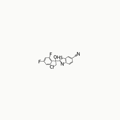 N#Cc1ccc2nc(C(O)(CCl)c3ccc(F)cc3F)sc2c1